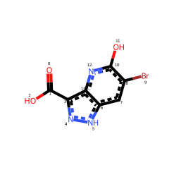 O=C(O)c1n[nH]c2cc(Br)c(O)nc12